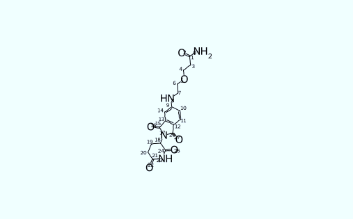 NC(=O)CCOCCNc1ccc2c(c1)C(=O)N(C1CCC(=O)NC1=O)C2=O